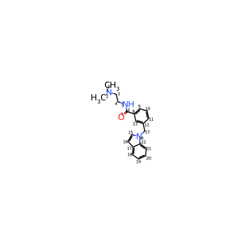 CN(C)CCNC(=O)c1cccc(Cn2ccc3ccccc32)c1